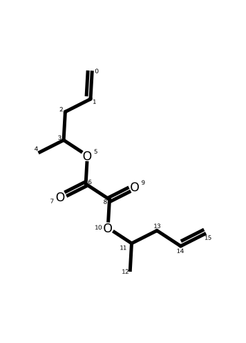 C=CCC(C)OC(=O)C(=O)OC(C)CC=C